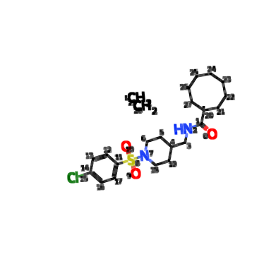 O=C(NCC1CCN(S(=O)(=O)c2ccc(Cl)cc2)CC1)[C]1CCCCCCC1.[CH2].[CH2]